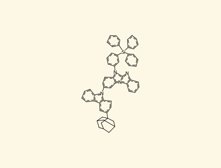 c1ccc([Si](c2ccccc2)(c2ccccc2)c2cccc(-n3c4ccc(-n5c6ccccc6c6cc(C78CC9CC(CC(C9)C7)C8)ccc65)cc4n4c5ccccc5nc34)c2)cc1